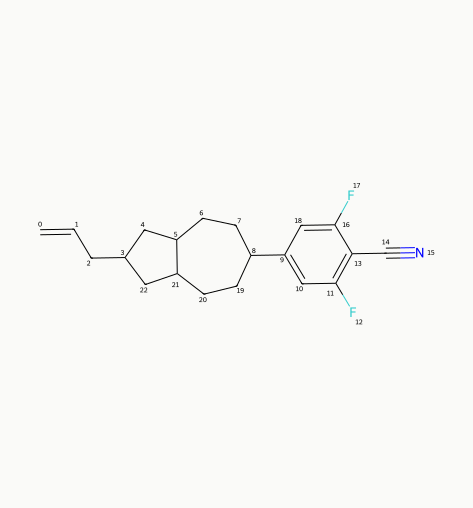 C=CCC1CC2CCC(c3cc(F)c(C#N)c(F)c3)CCC2C1